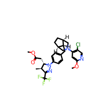 COC(=O)C[C@H]1[C@H](C)C(C(F)(F)F)=NN1c1ccc(C[C@@H]2[C@@H]3CC[C@H]2CN(c2cc(OC)ncc2Cl)C3)cc1